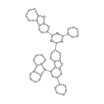 c1ccc(-c2cc(-n3c4ccccc4c4ccccc43)c3c(c2)oc2cc(-c4nc(-c5ccccc5)nc(-c5ccc6c(c5)oc5ccccc56)n4)ccc23)cc1